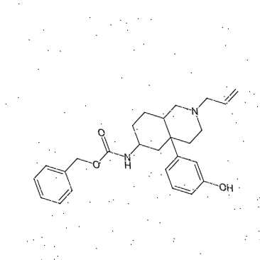 C=CCN1CCC2(c3cccc(O)c3)CC(NC(=O)OCc3ccccc3)CCC2C1